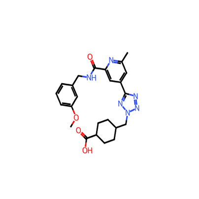 COc1cccc(CNC(=O)c2cc(-c3nnn(CC4CCC(C(=O)O)CC4)n3)cc(C)n2)c1